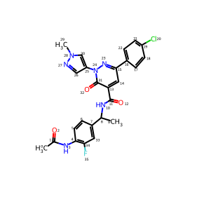 CC(=O)Nc1ccc(C(C)NC(=O)c2cc(-c3ccc(Cl)cc3)nn(-c3cnn(C)c3)c2=O)cc1F